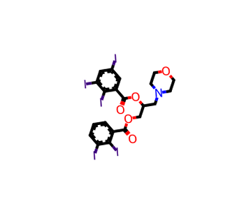 O=C(OCC(CN1CCOCC1)OC(=O)c1cc(I)cc(I)c1I)c1cccc(I)c1I